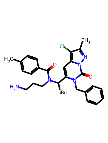 CCC(C)C(c1cc2c(Cl)c(C)nn2c(=O)n1Cc1ccccc1)N(CCCN)C(=O)c1ccc(C)cc1